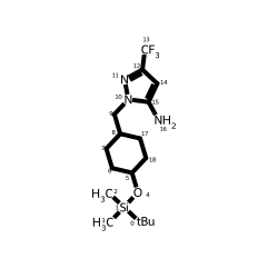 CC(C)(C)[Si](C)(C)OC1CCC(Cn2nc(C(F)(F)F)cc2N)CC1